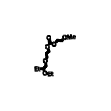 CCOC(CC)COCCCOC(=O)OCCOC